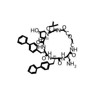 CC(C)(C)[C@@H]1NC(=O)COCCNC(=O)[C@@H](CN)NC(=O)[C@@H](Cc2ccc(-c3ccccc3)cc2)NC(=O)[C@@H](Cc2ccc(-c3ccccc3)cc2)NC(=O)[C@@H]2C[C@@H](O)CN2C1=O